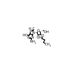 C=C1Sc2c(O)nc(N)nc2N1[C@@H]1O[C@H](CO)[C@H](OCCCC)[C@H]1O